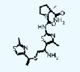 C=C(S/C=C(\N)c1sc(NC(=O)N2CCC[C@@]2(C)C(N)=O)nc1C)c1csc(C)n1